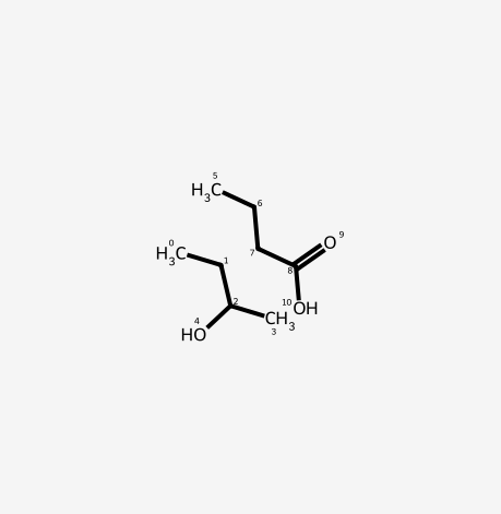 CCC(C)O.CCCC(=O)O